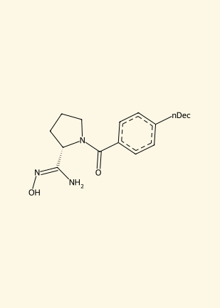 CCCCCCCCCCc1ccc(C(=O)N2CCC[C@H]2/C(N)=N/O)cc1